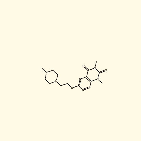 CN1CCN(CCOc2nnc3c(n2)c(=O)n(C)c(=O)n3C)CC1